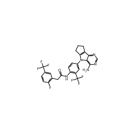 Nc1ncnc2c3c(n(-c4ccc(NC(=O)Cc5cc(C(F)(F)F)ccc5F)c(C(F)(F)F)c4)c12)CCC3